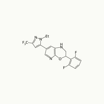 CCn1nc(C(F)(F)F)cc1-c1cnc2c(c1)NCC(c1c(F)cccc1F)O2